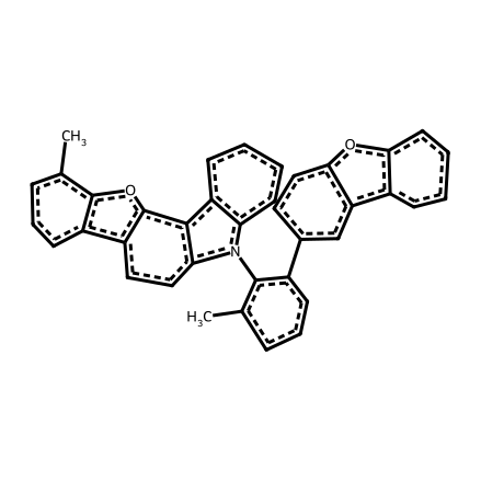 Cc1cccc(-c2ccc3oc4ccccc4c3c2)c1-n1c2ccccc2c2c3oc4c(C)cccc4c3ccc21